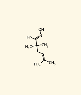 CC(C)=CCC(C)(C)/C(=N/O)C(C)C